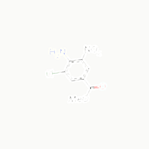 COC(=O)c1cc(Cl)c(N)c([N+](=O)[O-])c1